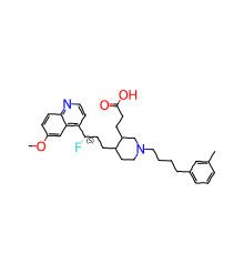 COc1ccc2nccc([C@@H](F)CCC3CCN(CCCCc4cccc(C)c4)CC3CCC(=O)O)c2c1